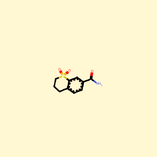 NC(=O)c1ccc2c(c1)S(=O)(=O)CCC2